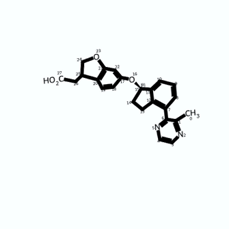 Cc1nccnc1-c1cccc2c1CC[C@H]2Oc1ccc2c(c1)OCC2CC(=O)O